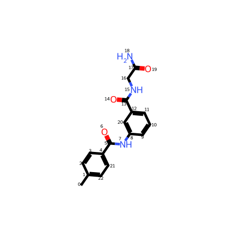 Cc1ccc(C(=O)Nc2c[c]cc(C(=O)NCC(N)=O)c2)cc1